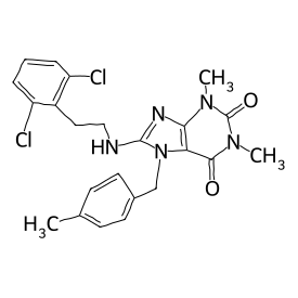 Cc1ccc(Cn2c(NCCc3c(Cl)cccc3Cl)nc3c2c(=O)n(C)c(=O)n3C)cc1